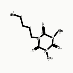 CCCCn1c(=O)n(CCCCC(C)(C)C)c(=O)n(C(C)(C)C)c1=O